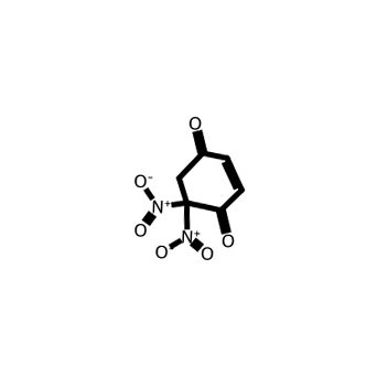 O=C1C=CC(=O)C([N+](=O)[O-])([N+](=O)[O-])C1